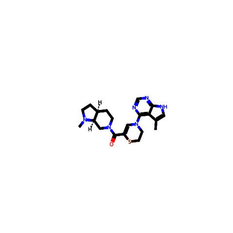 Cc1c[nH]c2ncnc(N3C=C(C(=O)N4CC[C@@H]5CCN(C)[C@@H]5C4)SCC3)c12